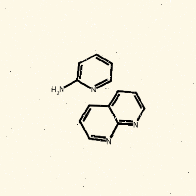 Nc1ccccn1.c1cnc2ncccc2c1